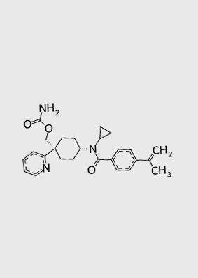 C=C(C)c1ccc(C(=O)N(C2CC2)[C@H]2CC[C@](COC(N)=O)(c3ccccn3)CC2)cc1